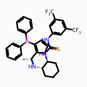 C[C@@H](N[C@H]1CCCC[C@@H]1NC(=S)Nc1cc(C(F)(F)F)cc(C(F)(F)F)c1)C1=C(P(c2ccccc2)c2ccccc2)C=CC1